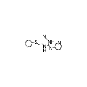 N#CNC(=Nc1cccnc1)NCCSc1ccccc1